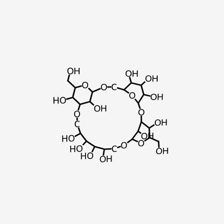 OCC1OC2OCC3OC(OC4C(O)C(CO)OC(OCC(O)C(O)C(O)C(O)COC(C1O)C2O)C4O)C(O)C(O)C3O